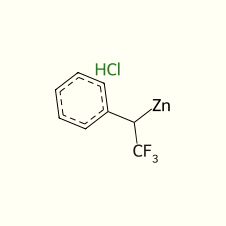 Cl.FC(F)(F)[CH]([Zn])c1ccccc1